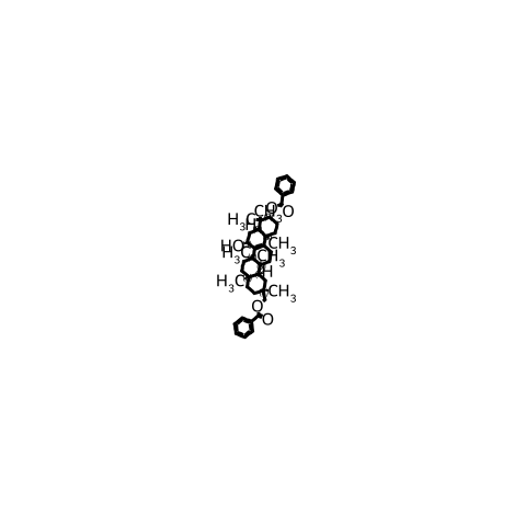 CC1(C)[C@H](OC(=O)c2ccccc2)CC[C@]2(C)C3=C([C@@H](O)C[C@@H]12)[C@@]1(C)CC[C@@]2(C)CC[C@@](C)(COC(=O)c4ccccc4)C[C@H]2[C@]1(C)CC3